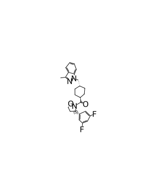 Cc1nn(C[C@H]2CC[C@H](C(=O)N3OCC[C@H]3c3cc(F)cc(F)c3)CC2)c2ccccc12